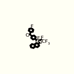 O=C(c1ccc(F)cc1)c1ccc(OC(F)(Oc2ccc3ccccc3c2)C(F)C(F)(F)F)cc1